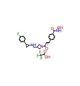 O=C(NO)c1ccc(/C=C/C(=O)N2CC(CNC3CC3c3ccc(F)cc3)C2)cc1.O=C(O)C(F)(F)F